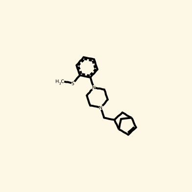 CSc1ccccc1N1CCN(CC2CC3C=CC2C3)CC1